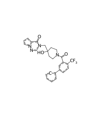 O=C(c1cc(-c2ccccc2)ccc1C(F)(F)F)N1CCC(O)(Cn2cnn3cccc3c2=O)CC1